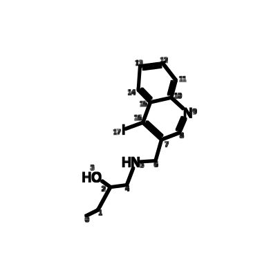 CCC(O)CNCc1cnc2ccccc2c1I